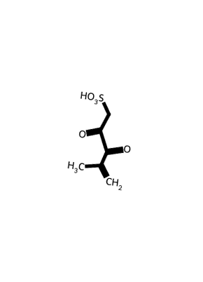 C=C(C)C(=O)C(=O)CS(=O)(=O)O